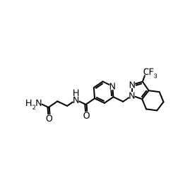 NC(=O)CCNC(=O)c1ccnc(Cn2nc(C(F)(F)F)c3c2CCCC3)c1